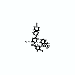 COc1cc(N2CCC3(CCNCC3)CC2)ccc1Nc1ncc(Cl)c(Nc2ccccc2[PH](C)(C)OI)n1